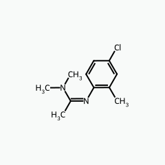 CC(=Nc1ccc(Cl)cc1C)N(C)C